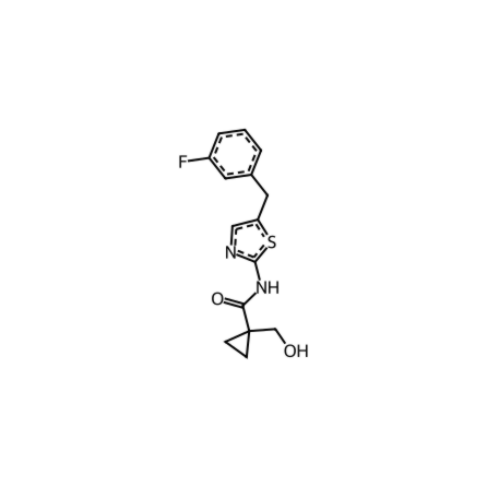 O=C(Nc1ncc(Cc2cccc(F)c2)s1)C1(CO)CC1